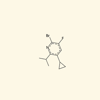 CC(C)c1nc(Br)c(F)cc1C1CC1